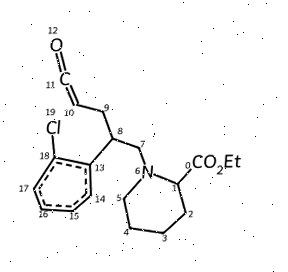 CCOC(=O)C1CCCCN1CC(CC=C=O)c1ccccc1Cl